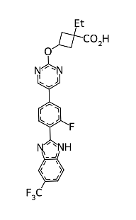 CCC1(C(=O)O)CC(Oc2ncc(-c3ccc(-c4nc5cc(C(F)(F)F)ccc5[nH]4)c(F)c3)cn2)C1